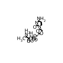 C[C@H](N)C(=O)NP(=O)(O)OC[C@H]1OC[C@@H](n2ccc(N)nc2=O)O1